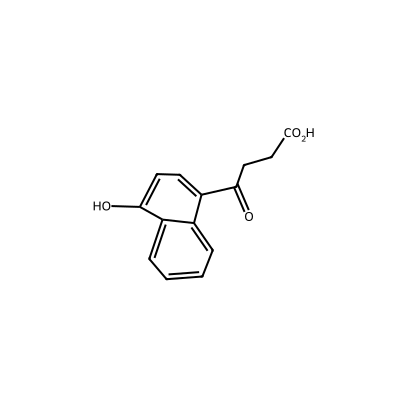 O=C(O)CCC(=O)c1ccc(O)c2ccccc12